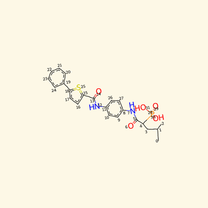 CC(C)CC(C(=O)Nc1ccc(NC(=O)c2ccc(-c3ccccc3)s2)cc1)P(=O)(O)O